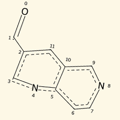 O=[C]c1cnc2ccncc2c1